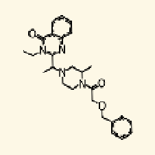 CCn1c(C(C)N2CCN(C(=O)COCc3ccccc3)C(C)C2)nc2ccccc2c1=O